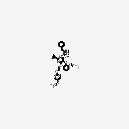 COc1ccccc1Oc1c(NS(=O)(=O)NCc2ccccc2)nc(C2CC2)nc1OCCOc1ncc(SC)cn1